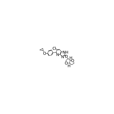 Clc1cc2[nH]c(O[C@@H]3CO[C@@H]4CCO[C@@H]43)nc2nc1-c1ccc(OC2CC2)cc1